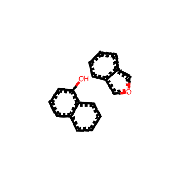 Oc1cccc2ccccc12.c1ccc2cocc2c1